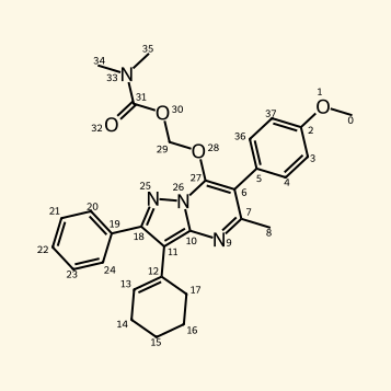 COc1ccc(-c2c(C)nc3c(C4=CCCCC4)c(-c4ccccc4)nn3c2OCOC(=O)N(C)C)cc1